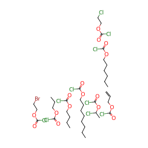 C=CCOC(=O)Cl.CC(Cl)OC(=O)Cl.CCCCCCCCOC(=O)Cl.CCCCCCOC(=O)Cl.CCCCOC(=O)Cl.CCCOC(=O)Cl.O=C(Cl)OCCBr.O=C(Cl)OCCCl